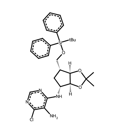 CC1(C)O[C@@H]2[C@@H](CO[Si](c3ccccc3)(c3ccccc3)C(C)(C)C)C[C@@H](Nc3ncnc(Cl)c3N)[C@@H]2O1